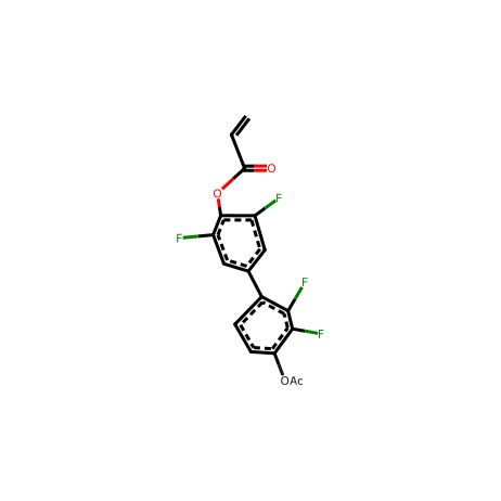 C=CC(=O)Oc1c(F)cc(-c2ccc(OC(C)=O)c(F)c2F)cc1F